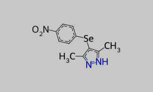 Cc1n[nH]c(C)c1[Se]c1ccc([N+](=O)[O-])cc1